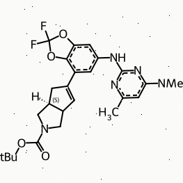 CNc1cc(C)nc(Nc2cc3c(c(C4=CC5CN(C(=O)OC(C)(C)C)C[C@H]5C4)c2)OC(F)(F)O3)n1